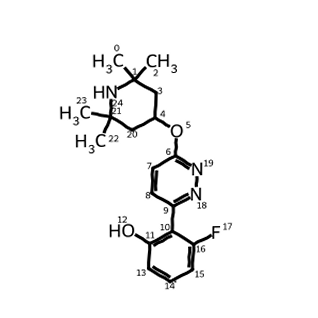 CC1(C)CC(Oc2ccc(-c3c(O)c[c]cc3F)nn2)CC(C)(C)N1